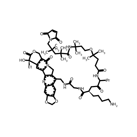 CC[C@@]1(O)C(=O)OCc2c1cc1n(c2=O)Cc2c-1nc1cc3c(cc1c2CNC(=O)CNC(=O)[C@H](CCCCN)CC(=O)C(NC(=O)CCC(C)(C)OCCC(C)(C)NC(=O)C(C)(C)CC(C)(C)CN1C(=O)C=CC1=O)C(C)C)OCO3